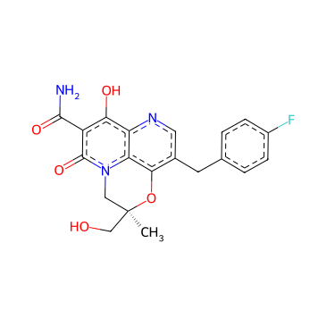 C[C@]1(CO)Cn2c(=O)c(C(N)=O)c(O)c3ncc(Cc4ccc(F)cc4)c(c32)O1